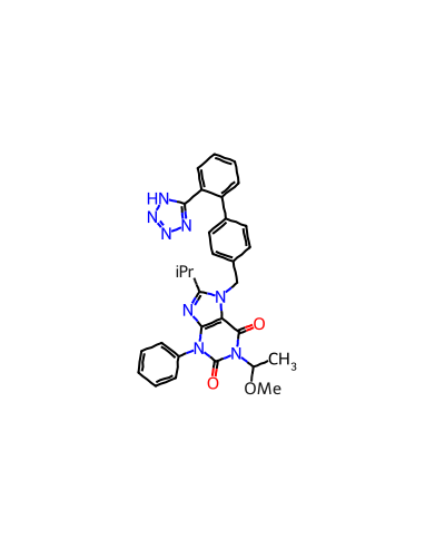 COC(C)n1c(=O)c2c(nc(C(C)C)n2Cc2ccc(-c3ccccc3-c3nnn[nH]3)cc2)n(-c2ccccc2)c1=O